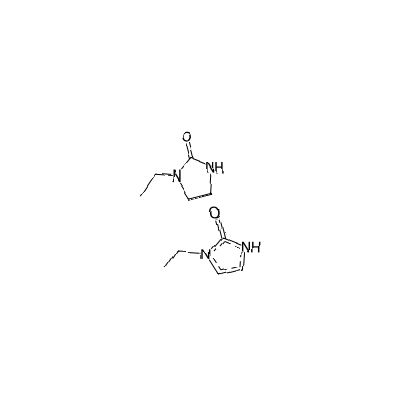 CCN1CCNC1=O.CCn1cc[nH]c1=O